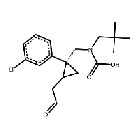 CC(C)(C)CN(C[C@]1(c2cccc(Cl)c2)CC1CC=O)C(=O)O